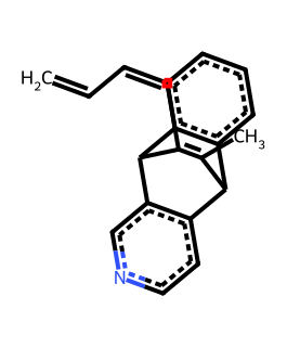 C=C/C=C\C1=C(C)C2c3ccccc3C1c1cnccc12